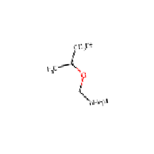 CCCCCCCCOC(C(=O)OCC)C(F)(F)F